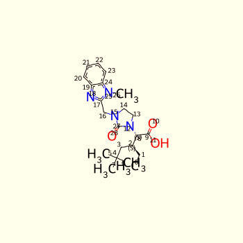 CC[C@@H](CC(C)(C)C)[C@@H](C(=O)O)N1CCN(Cc2nc3ccccc3n2C)C1=O